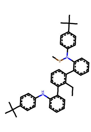 CCc1c(-c2ccccc2Nc2ccc(C(C)(C)C)cc2)cccc1-c1ccccc1N(SC)c1ccc(C(C)(C)C)cc1